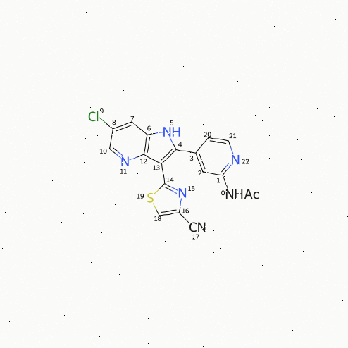 CC(=O)Nc1cc(-c2[nH]c3cc(Cl)cnc3c2-c2nc(C#N)cs2)ccn1